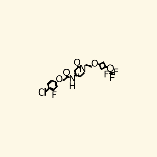 O=C(COc1ccc(Cl)c(F)c1)N[C@H]1CCN(CCOC2CC(OC(F)(F)F)C2)C(=O)C1